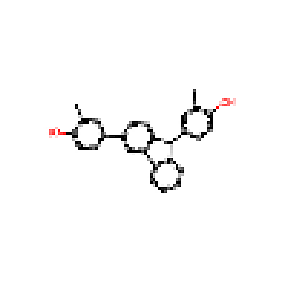 Cc1cc(-c2ccc3c(c2)-c2ccccc2C3c2ccc(O)c(C)c2)ccc1O